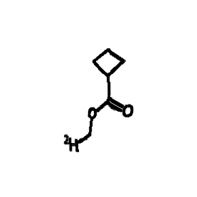 [2H]COC(=O)C1CCC1